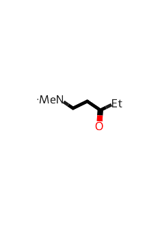 CCC(=O)CC[N]C